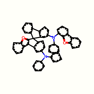 c1ccc(N(c2ccccc2)c2ccc3c(c2)-c2c(oc4ccccc24)C32c3ccccc3-c3ccc(N(c4ccccc4)c4cccc5c4oc4ccccc45)cc32)cc1